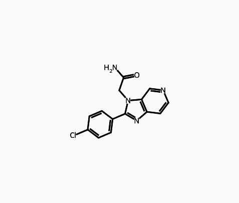 NC(=O)Cn1c(-c2ccc(Cl)cc2)nc2ccncc21